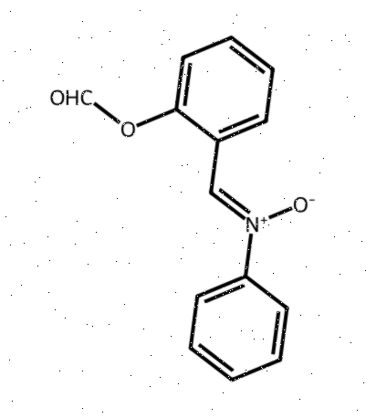 O=COc1ccccc1C=[N+]([O-])c1ccccc1